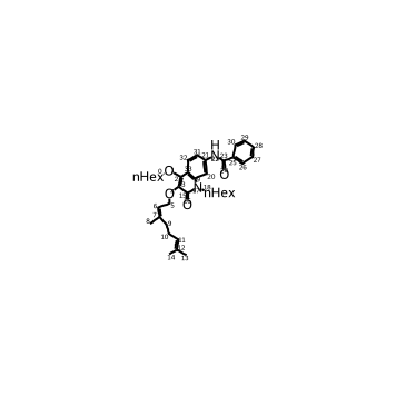 CCCCCCOc1c(OCC=C(C)CCC=C(C)C)c(=O)n(CCCCCC)c2cc(NC(=O)c3ccccc3)ccc12